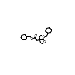 CCC(CC)(CC(=O)OCC1CCCCC1)C(=O)OCC1CCCCC1